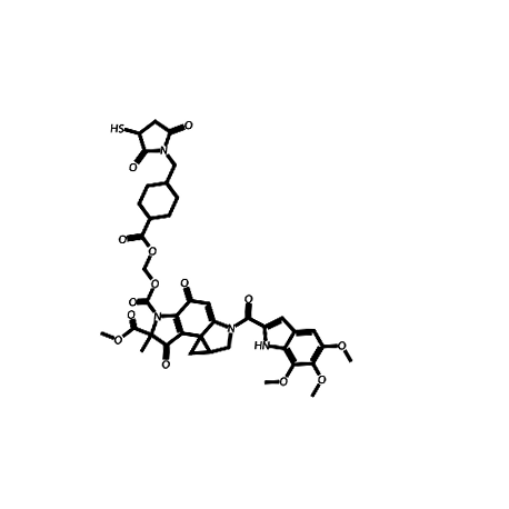 COC(=O)C1(C)C(=O)C2=C(C(=O)C=C3N(C(=O)c4cc5cc(OC)c(OC)c(OC)c5[nH]4)CC4CC324)N1C(=O)OCOC(=O)C1CCC(CN2C(=O)CC(S)C2=O)CC1